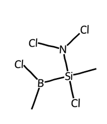 CB(Cl)[Si](C)(Cl)N(Cl)Cl